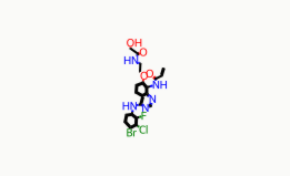 C=CC(=O)Nc1c(OCCNC(=O)CO)ccc2c(Nc3ccc(Br)c(Cl)c3F)ncnc12